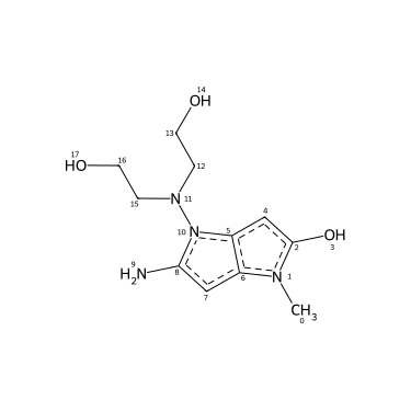 Cn1c(O)cc2c1cc(N)n2N(CCO)CCO